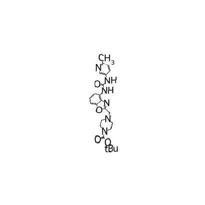 Cc1ccc(NC(=O)Nc2cccc3oc(CN4CCN(C(=O)OC(C)(C)C)CC4)nc23)cn1